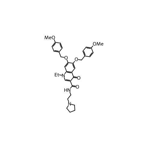 CCn1cc(C(=O)NCCN2CCCC2)c(=O)c2cc(OCc3ccc(OC)cc3)c(OCc3ccc(OC)cc3)cc21